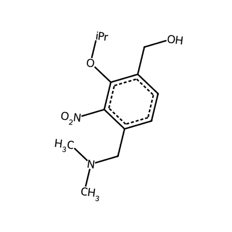 CC(C)Oc1c(CO)ccc(CN(C)C)c1[N+](=O)[O-]